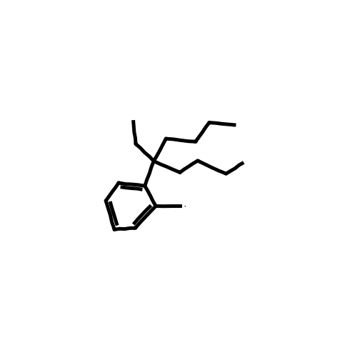 [CH2]c1ccccc1C(CC)(CCCC)CCCC